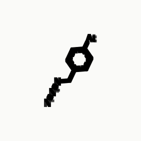 [N-]=[N+]=NCc1ccc([At])cc1